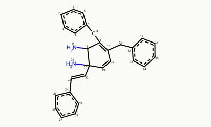 NC1C(Cc2ccccc2)=C(Cc2ccccc2)C=CC1(N)C=Cc1ccccc1